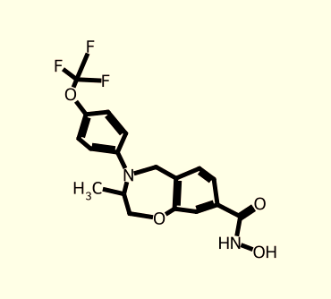 CC1COc2cc(C(=O)NO)ccc2CN1c1ccc(OC(F)(F)F)cc1